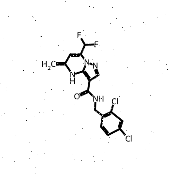 C=C1C=C(C(F)F)n2ncc(C(=O)NCc3ccc(Cl)cc3Cl)c2N1